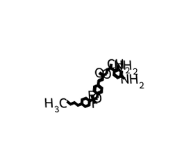 [CH2]C(COC(=O)/C=C/c1ccc(OC(F)(F)C2CCC(CCCCC)CC2)cc1)c1ccc(N)cc1N